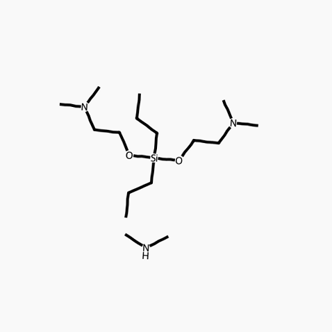 CCC[Si](CCC)(OCCN(C)C)OCCN(C)C.CNC